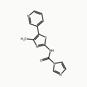 Cc1nc(NC(=O)n2ccnc2)sc1-c1cccnc1